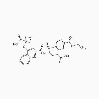 CCOC(=O)N1CCN(C(=O)C(CCC(=O)O)NC(=O)c2cc(OC3(C(=O)O)CCC3)c3ccccc3n2)CC1